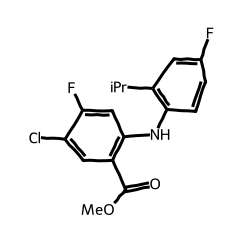 COC(=O)c1cc(Cl)c(F)cc1Nc1ccc(F)cc1C(C)C